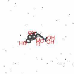 C[C@H](CCC(O)C(CO)CO)[C@H]1CC[C@H]2[C@@H]3C(O)CC4CC(O)CC[C@]4(C)[C@H]3CC(O)[C@]12C